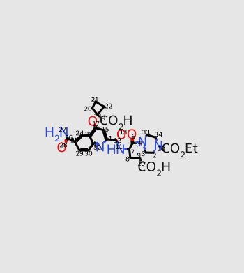 CCOC(=O)N1CCN(C(=O)C(CCC(=O)O)NC(=O)c2cc(OC3(C(=O)O)CCC3)c3cc(C(N)=O)ccc3n2)CC1